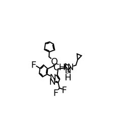 C[C@@H](OCc1ccccc1)c1cc(F)ccc1-n1nc(C(F)F)cc1Cc1cn(CC2CC2)[nH]1